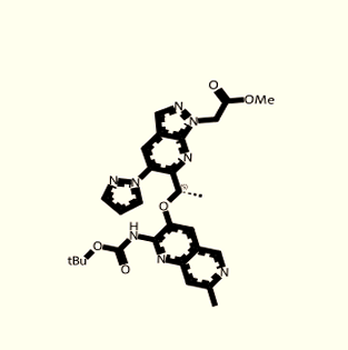 COC(=O)Cn1ncc2cc(-n3cccn3)c([C@H](C)Oc3cc4cnc(C)cc4nc3NC(=O)OC(C)(C)C)nc21